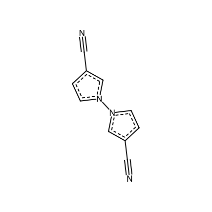 N#Cc1ccn(-n2ccc(C#N)c2)c1